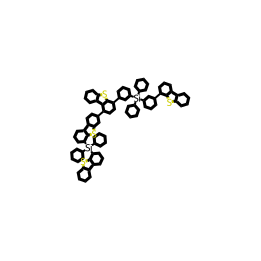 c1ccc([Si](c2ccccc2)(c2cccc(-c3cccc4c3sc3ccccc34)c2)c2cccc(-c3ccc(-c4ccc5c(c4)sc4c([Si](c6ccccc6)(c6ccccc6)c6cccc7c6sc6ccccc67)cccc45)c4c3sc3ccccc34)c2)cc1